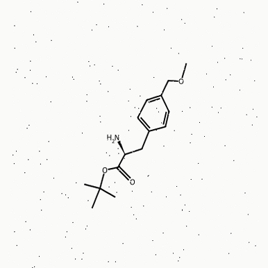 COCc1ccc(C[C@H](N)C(=O)OC(C)(C)C)cc1